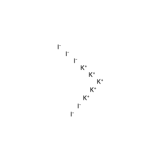 [I-].[I-].[I-].[I-].[I-].[K+].[K+].[K+].[K+].[K+]